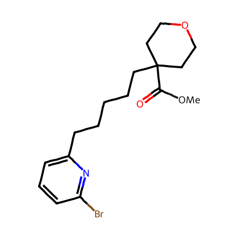 COC(=O)C1(CCCCCc2cccc(Br)n2)CCOCC1